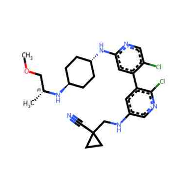 COC[C@@H](C)N[C@H]1CC[C@H](Nc2cc(-c3cc(NCC4(C#N)CC4)cnc3Cl)c(Cl)cn2)CC1